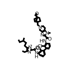 CCc1nc(C(=O)Nc2cccc(-c3cccc(NC(=O)c4nc5c(n4C)CCN(CC46CCC(C=O)(CC4)C6)C5)c3Cl)c2Cl)n(C)c1CCC(C)CC